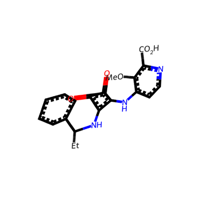 CCC(Nc1c(Nc2ccnc(C(=O)O)c2OC)c(=O)c1=O)c1ccccc1